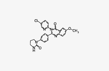 COc1ccc2nc(-c3ccc(N4CCCNC4=O)cc3)n(-c3ccc(Cl)cn3)c(=O)c2c1